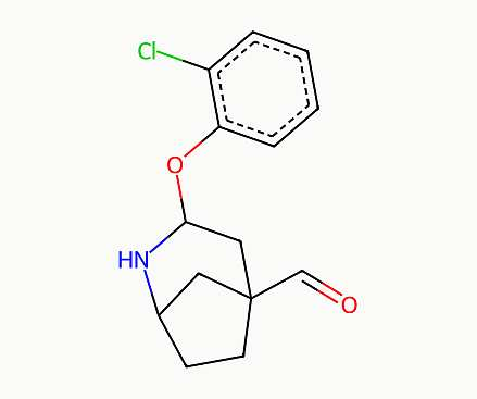 O=CC12CCC(C1)NC(Oc1ccccc1Cl)C2